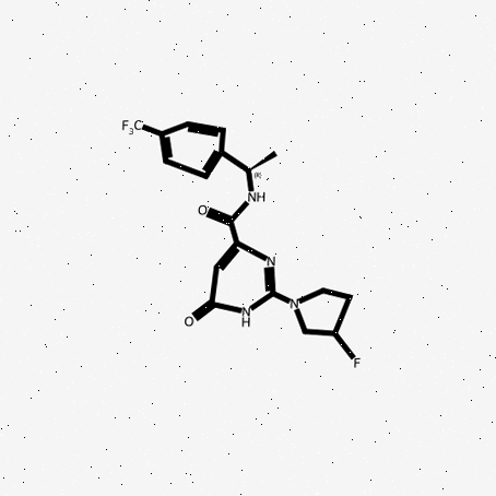 C[C@@H](NC(=O)c1cc(=O)[nH]c(N2CCC(F)C2)n1)c1ccc(C(F)(F)F)cc1